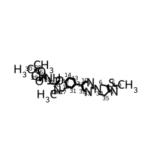 Cc1nc2c(s1)CN(c1ncc(-c3cccc(CN(C)C(=O)CNC(=O)OC(C)(C)C)c3)cn1)CC2